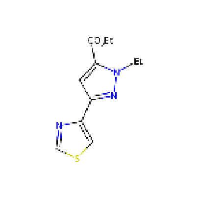 CCOC(=O)c1cc(-c2cscn2)nn1CC